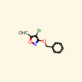 O=Cc1onc(OCc2ccccc2)c1Br